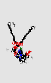 CCCCCCCCCCCCCCCC(=O)OCC(COC(=O)CCCCCCCCCCCCCCC)OC(=O)CC(C)CC(=O)O[C@H]1CC[C@H](N(CC(C)C)c2ccc([C@H](C)CC(=O)O)cc2Nc2ccc(Cl)nc2)CC1